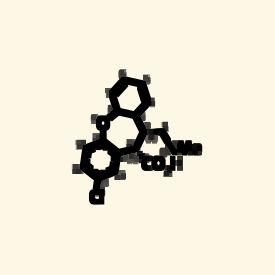 CNC[C@@H]1C2C=CC=CC2Oc2ccc(Cl)cc2[C@H]1C(=O)O